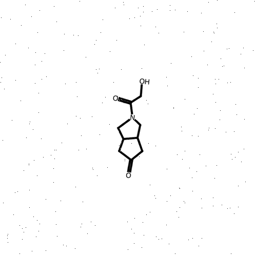 O=C1CC2CN(C(=O)CO)CC2C1